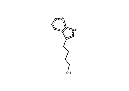 OCCCCc1c[nH]c2ncccc12